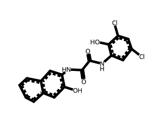 O=C(Nc1cc2ccccc2cc1O)C(=O)Nc1cc(Cl)cc(Cl)c1O